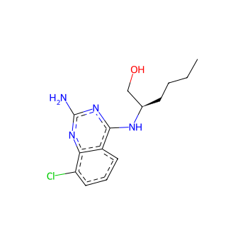 CCCC[C@H](CO)Nc1nc(N)nc2c(Cl)cccc12